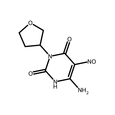 Nc1[nH]c(=O)n(C2CCOC2)c(=O)c1N=O